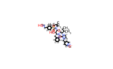 CC[C@H](C)[C@@H](C(=O)N[C@@H](Cc1ccccc1)[C@H](O)CN(CC(C)C)S(=O)(=O)c1ccc(/C=N/O)cc1)N1CCN(Cc2cc[n+]([O-])cc2)C1=O